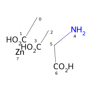 CC(=O)O.CC(=O)O.NCC(=O)O.[Zn]